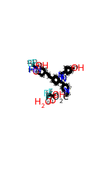 O.O=C(O)C(F)(F)F.O=C(O)C(F)(F)F.O=C(O)CN1CCC(c2nn(Cc3ccc(O)cc3)c3cc(C=CC4CCNCC4)ccc23)CC1